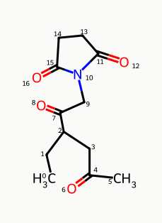 CCC(CC(C)=O)C(=O)CN1C(=O)CCC1=O